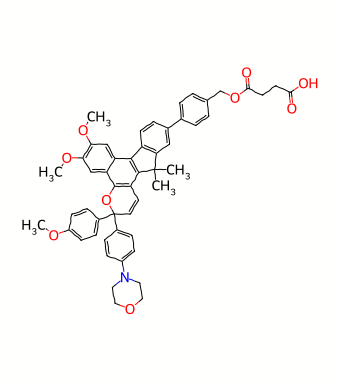 COc1ccc(C2(c3ccc(N4CCOCC4)cc3)C=Cc3c4c(c5cc(OC)c(OC)cc5c3O2)-c2ccc(-c3ccc(COC(=O)CCC(=O)O)cc3)cc2C4(C)C)cc1